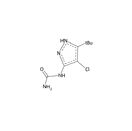 CC(C)(C)c1[nH]nc(NC(N)=O)c1Cl